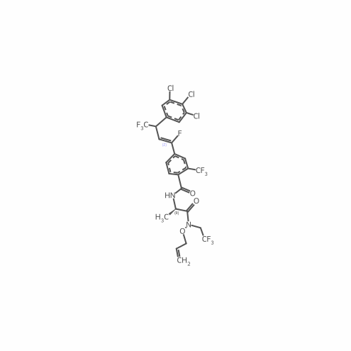 C=CCON(CC(F)(F)F)C(=O)[C@@H](C)NC(=O)c1ccc(/C(F)=C/C(c2cc(Cl)c(Cl)c(Cl)c2)C(F)(F)F)cc1C(F)(F)F